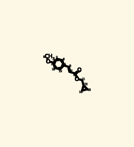 COc1ccc(/C=C/C(=O)OCC2CC2)cc1